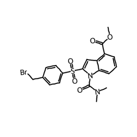 COC(=O)c1cccc2c1cc(S(=O)(=O)c1ccc(CBr)cc1)n2C(=O)N(C)C